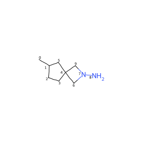 CC1CCC2(C1)CN(N)C2